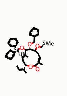 C/C=C(/C)[C@H]1C/C=C(\C)[C@@H](O[Si](c2ccccc2)(c2ccccc2)C(C)(C)C)[C@H](OCc2ccccc2)C(OCSC)C/C=C(/C)C(=O)O1